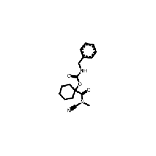 CN(C#N)C(=O)C1(OC(=O)NCc2ccccc2)CCCCC1